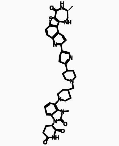 C[C@@H]1CNc2c(sc3ccc4nc(-c5ccc(C6CCN(CC7CCN(c8cccc9c8n(C)c(=O)n9C8CCC(=O)NC8=O)CC7)CC6)nc5)ccc4c23)C(=O)N1